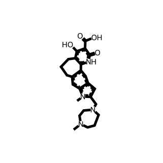 CN1CCCN(Cc2cc3cc4c(cc3n2C)CCCc2c-4[nH]c(=O)c(C(=O)O)c2O)CC1